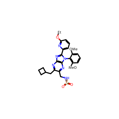 CCOc1cccc(-c2nc3nc(CC4CCC4)c(CN[SH](=O)=O)nc3n2-c2c(OC)cccc2OC)n1